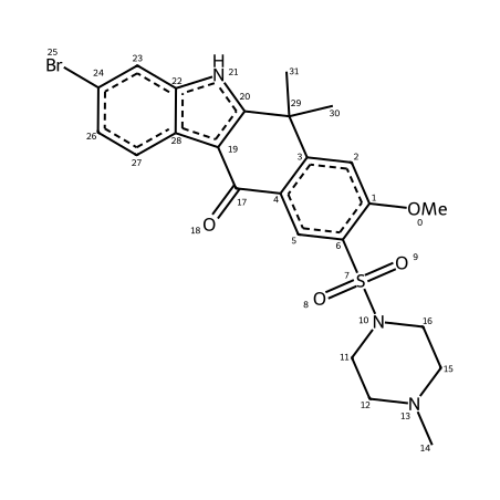 COc1cc2c(cc1S(=O)(=O)N1CCN(C)CC1)C(=O)c1c([nH]c3cc(Br)ccc13)C2(C)C